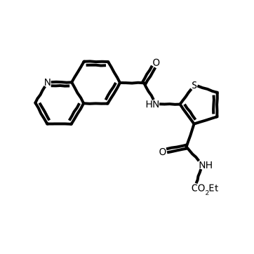 CCOC(=O)NC(=O)c1ccsc1NC(=O)c1ccc2ncccc2c1